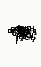 CC(C)(C)OC(=O)N(C(=O)OC(C)(C)C)C1=N[C@](C)(c2cc([N+](=O)[O-])ccc2CCCI)CS(=O)(=O)C1(C)C